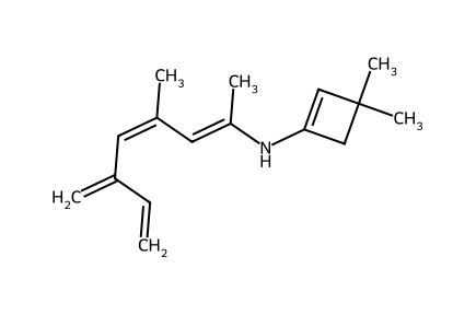 C=CC(=C)/C=C(C)\C=C(/C)NC1=CC(C)(C)C1